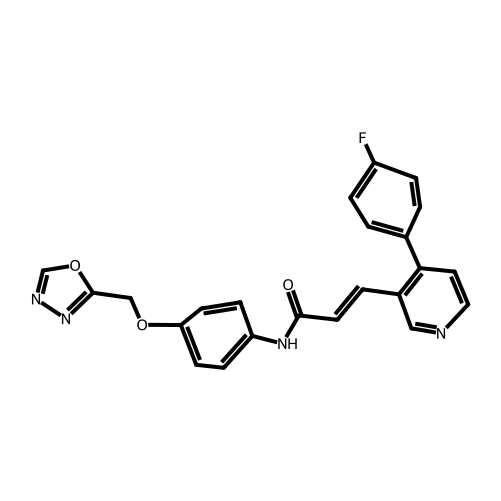 O=C(/C=C/c1cnccc1-c1ccc(F)cc1)Nc1ccc(OCc2nnco2)cc1